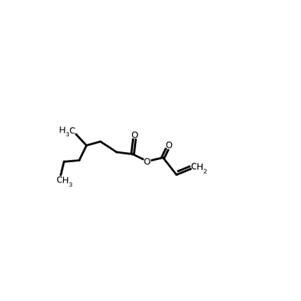 C=CC(=O)OC(=O)CCC(C)CCC